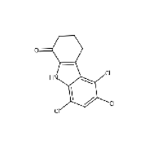 O=C1CCCc2c1[nH]c1c(Cl)cc(Cl)c(Cl)c21